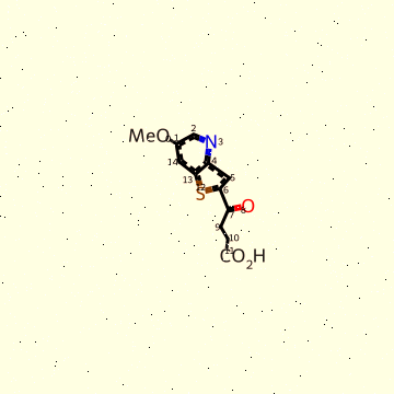 COc1cnc2cc(C(=O)CCC(=O)O)sc2c1